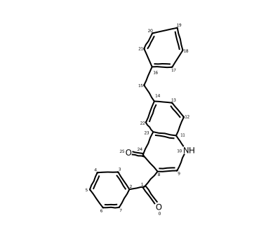 O=C(c1ccccc1)c1c[nH]c2ccc(Cc3ccccc3)cc2c1=O